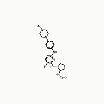 CC(=O)N1CCN(c2ccc(Nc3ncc(F)c(NC4CCCC4NC=O)n3)cc2)CC1